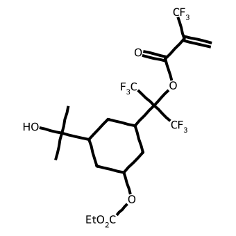 C=C(C(=O)OC(C1CC(OC(=O)OCC)CC(C(C)(C)O)C1)(C(F)(F)F)C(F)(F)F)C(F)(F)F